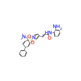 CN(C)CC1(S(=O)(=O)n2ccc(/C=C/C(=O)Nc3ccccc3N)c2)C=CC(c2ccccc2)C=C1